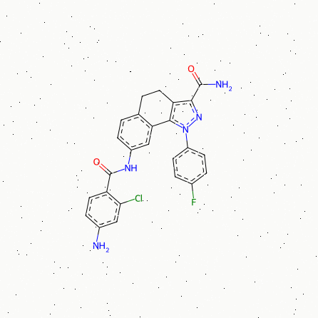 NC(=O)c1nn(-c2ccc(F)cc2)c2c1CCc1ccc(NC(=O)c3ccc(N)cc3Cl)cc1-2